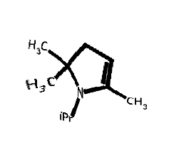 CC1=CCC(C)(C)N1C(C)C